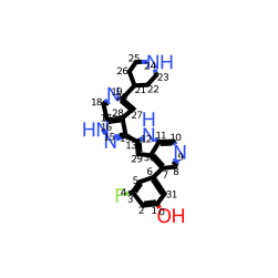 Oc1cc(F)cc(-c2cncc3[nH]c(-c4n[nH]c5cnc(C6CCNCC6)cc45)cc23)c1